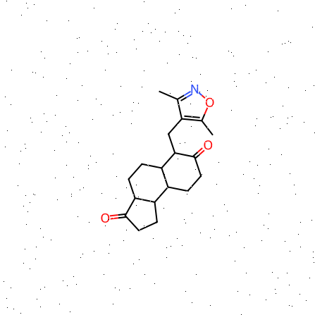 Cc1noc(C)c1CC1C(=O)CCC2C3CCC(=O)C3CCC12